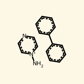 N[n+]1ccncc1.c1ccc(-c2ccccc2)cc1